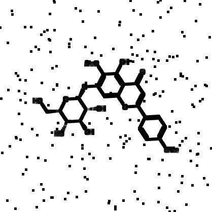 COc1ccc(-c2cc(=O)c3c(O)c(OC)c(O[C@@H]4O[C@H](CO)[C@@H](O)[C@H](O)[C@H]4O)cc3o2)cc1